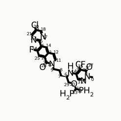 Cn1ncc(N[C@H](CCCn2ccc3cc(-c4ncc(Cl)cn4)c(F)cc3c2=O)COC(P)P)c(C(F)(F)F)c1=O